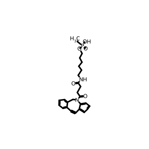 CCP(=O)(O)OCCCCCCNC(=O)CCC(=O)N1Cc2ccccc2C#Cc2ccccc21